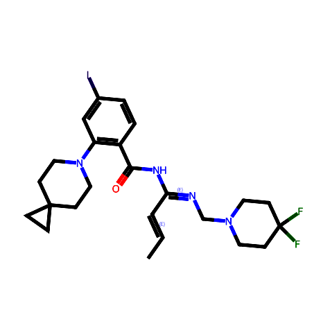 C/C=C/C(=N\CN1CCC(F)(F)CC1)NC(=O)c1ccc(I)cc1N1CCC2(CC1)CC2